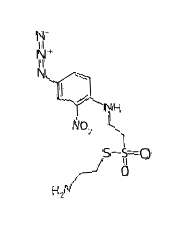 [N-]=[N+]=Nc1ccc(NCCS(=O)(=O)SCCN)c([N+](=O)[O-])c1